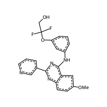 COc1ccc2nc(-c3cccnc3)nc(Nc3cccc(OC(F)(F)CO)c3)c2c1